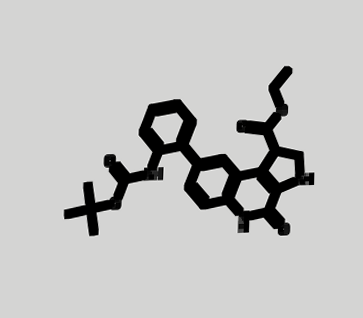 CCOC(=O)C1CNc2c1c1cc(-c3ccccc3NC(=O)OC(C)(C)C)ccc1[nH]c2=O